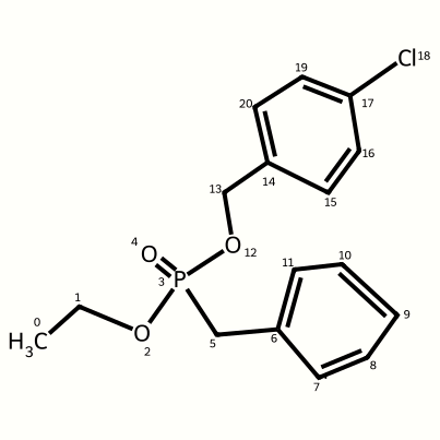 CCOP(=O)(Cc1[c]cccc1)OCc1ccc(Cl)cc1